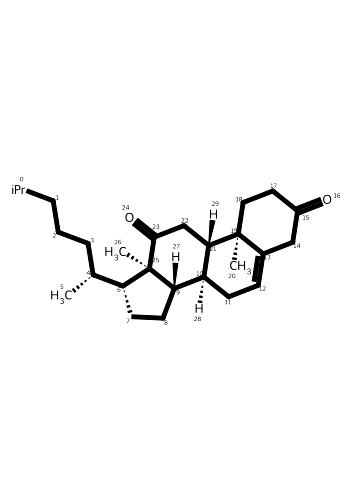 CC(C)CCC[C@@H](C)[C@H]1CC[C@H]2[C@@H]3CC=C4CC(=O)CC[C@]4(C)[C@H]3CC(=O)[C@]12C